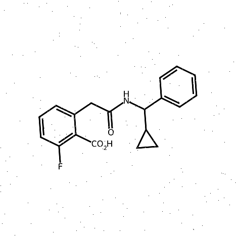 O=C(Cc1cccc(F)c1C(=O)O)NC(c1ccccc1)C1CC1